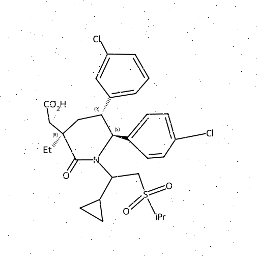 CC[C@]1(CC(=O)O)C[C@H](c2cccc(Cl)c2)[C@@H](c2ccc(Cl)cc2)N(C(CS(=O)(=O)C(C)C)C2CC2)C1=O